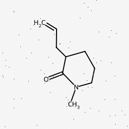 C=CCC1CCCN(C)C1=O